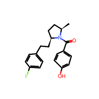 C[C@@H]1CC[C@H](CCc2ccc(F)cc2)N1C(=O)c1ccc(O)cc1